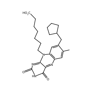 Cc1cc2nc3c(=O)[nH]c(=O)nc-3n(CCCCCCC(=O)O)c2cc1CC1CCCC1